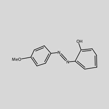 COc1ccc(N=Nc2ccccc2O)cc1